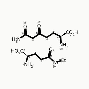 CCNC(=O)CC[C@H](N)C(=O)O.NC(=O)CC(=O)CC[C@H](N)C(=O)O